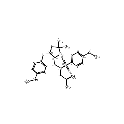 CNc1ccc(C[C@@H]2CC(C)(C)O[C@@H]2CN(CC(C)C)S(=O)(=O)c2ccc(OC)cc2)cc1